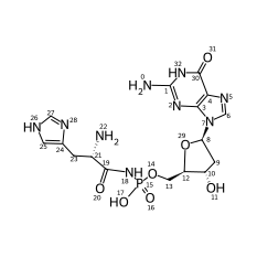 Nc1nc2c(ncn2[C@H]2C[C@H](O)[C@@H](COP(=O)(O)NC(=O)[C@@H](N)Cc3c[nH]cn3)O2)c(=O)[nH]1